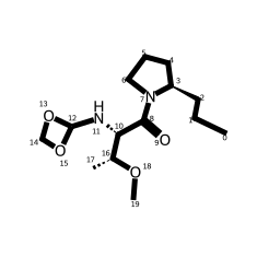 CCC[C@@H]1CCCN1C(=O)[C@@H](NC1OCO1)[C@@H](C)OC